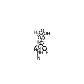 CC1(C(=O)O)COC(c2nc(-c3ccc(F)cc3)c(-c3ccnc(NCC#N)n3)[nH]2)OC1